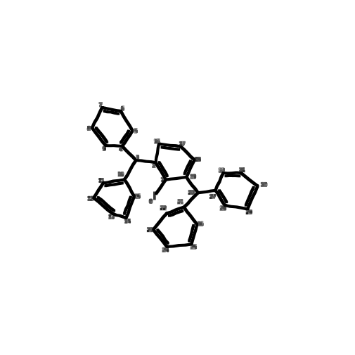 Ic1c(C(c2ccccc2)c2ccccc2)cccc1C(c1ccccc1)c1ccccc1